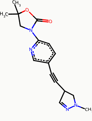 CN1CC(C#Cc2ccc(N3CC(C)(C)OC3=O)nc2)C=N1